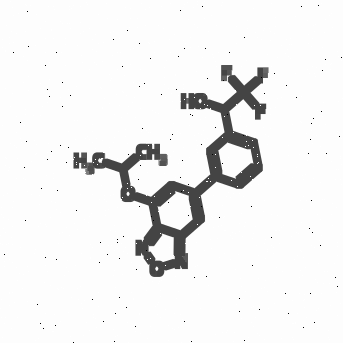 CC(C)Oc1cc(-c2cccc(C(O)C(F)(F)F)c2)cc2nonc12